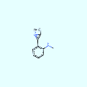 CNc1ccccc1-c1c2ccn1-2